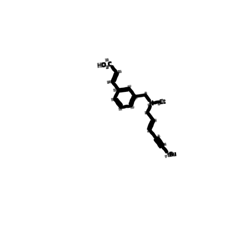 CCN(CC=CC#CC(C)(C)C)Cc1cccc(C=CC(=O)O)c1